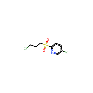 O=S(=O)(CCCCl)c1ccc(Cl)cn1